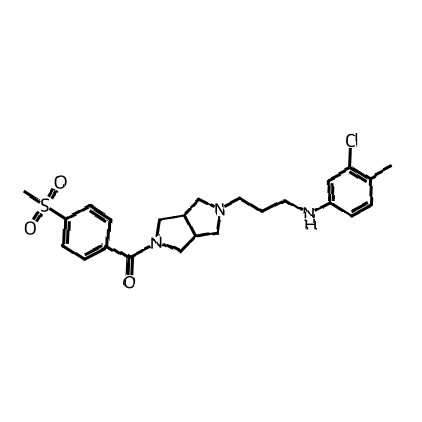 Cc1ccc(NCCCN2CC3CN(C(=O)c4ccc(S(C)(=O)=O)cc4)CC3C2)cc1Cl